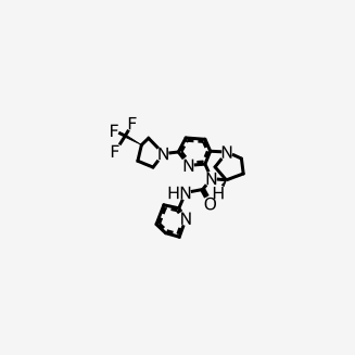 O=C(Nc1ccccn1)N1c2nc(N3CC[C@@H](C(F)(F)F)C3)ccc2N2CC[C@H]1C2